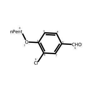 CCCCCOc1ccc(C=O)cc1Cl